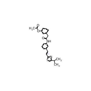 CC(=O)Oc1cccc(CC(=O)Nc2cccc(/C=C/c3nc(C(C)C)cs3)c2)c1